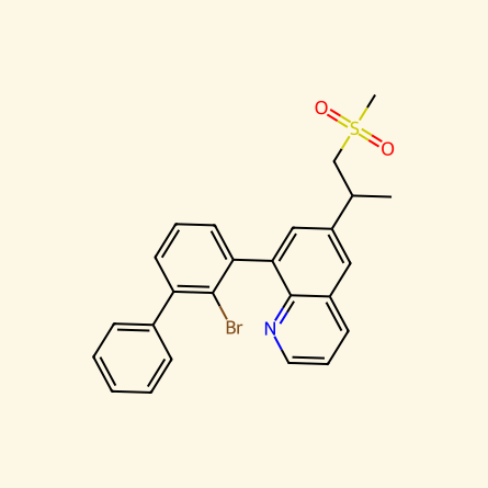 CC(CS(C)(=O)=O)c1cc(-c2cccc(-c3ccccc3)c2Br)c2ncccc2c1